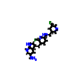 Nc1cnc2[nH]cc(Cc3ccc(NCc4cncc(F)c4)nc3F)c2c1